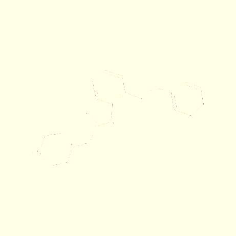 c1ccc(CCc2cccc3nc(CN4CCNCC4)[nH]c23)cc1